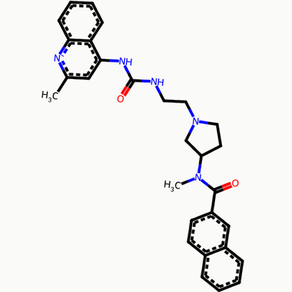 Cc1cc(NC(=O)NCCN2CCC(N(C)C(=O)c3ccc4ccccc4c3)C2)c2ccccc2n1